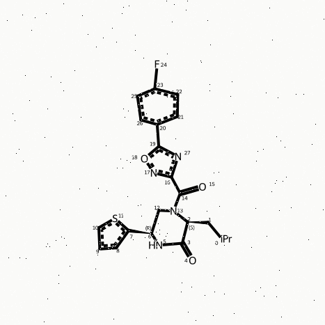 CC(C)C[C@H]1C(=O)N[C@@H](c2cccs2)CN1C(=O)c1noc(-c2ccc(F)cc2)n1